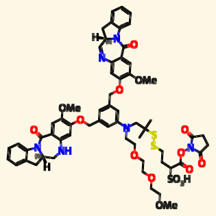 COCCOCCOCCN(CC(C)(C)SSCCC(C(=O)ON1C(=O)CCC1=O)S(=O)(=O)O)c1cc(COc2cc3c(cc2OC)C(=O)N2c4ccccc4C[C@H]2C=N3)cc(COc2cc3c(cc2OC)C(=O)N2c4ccccc4C[C@H]2CN3)c1